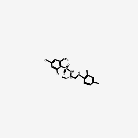 CC[C@@H](CNc1ccc(C)cc1C)NS(=O)(=O)c1c(N)cc(Cl)cc1Cl